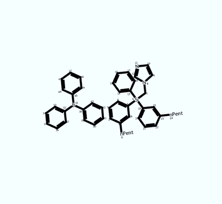 CCCCCc1cccc([Si](Cn2ccnc2)(c2ccccc2)c2cccc(CCCCC)c2)c1.c1ccc(B(c2ccccc2)c2ccccc2)cc1